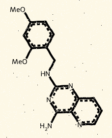 COc1ccc(CNc2nc(N)c3ncccc3n2)c(OC)c1